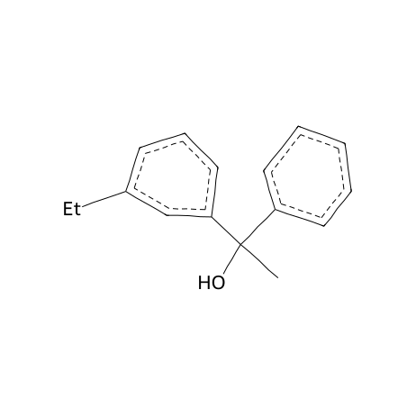 CCc1cccc(C(C)(O)c2ccccc2)c1